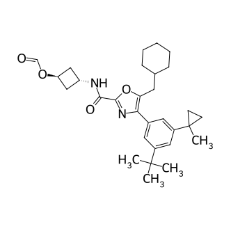 CC(C)(C)c1cc(-c2nc(C(=O)N[C@H]3C[C@H](OC=O)C3)oc2CC2CCCCC2)cc(C2(C)CC2)c1